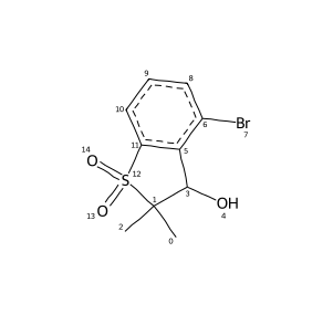 CC1(C)C(O)c2c(Br)cccc2S1(=O)=O